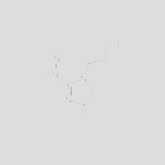 NNC1=NC(I)CN1CCO